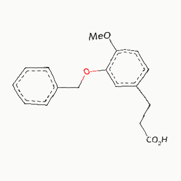 COc1ccc(CCC(=O)O)cc1OCc1ccccc1